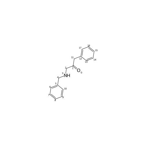 O=C(CNCc1ccccc1)Cc1[c]cccc1